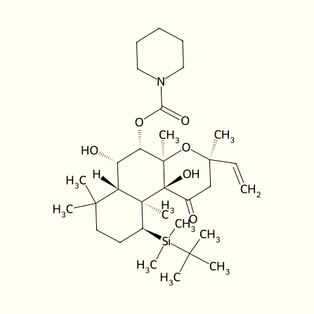 C=C[C@@]1(C)CC(=O)[C@]2(O)[C@]3(C)[C@@H]([C@H](O)[C@H](OC(=O)N4CCCCC4)[C@@]2(C)O1)C(C)(C)CC[C@@H]3[Si](C)(C)C(C)(C)C